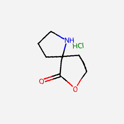 Cl.O=C1OCCC12CCCN2